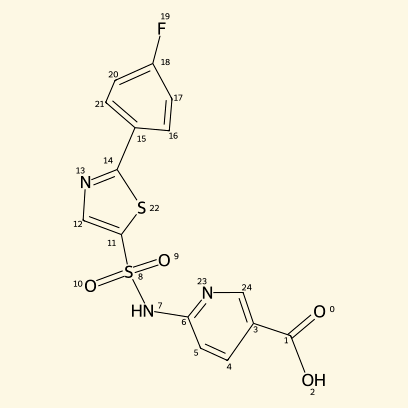 O=C(O)c1ccc(NS(=O)(=O)c2cnc(-c3ccc(F)cc3)s2)nc1